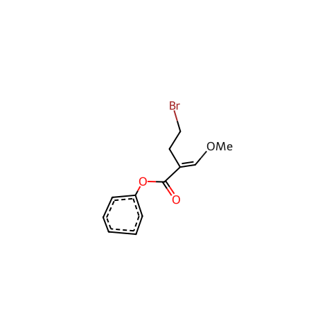 COC=C(CCBr)C(=O)Oc1ccccc1